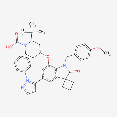 COc1ccc(CN2C(=O)C3(CCC3)c3cc(-c4ccnn4-c4ccccc4)cc(OC4CCN(C(=O)O)C(C(C)(C)C)C4)c32)cc1